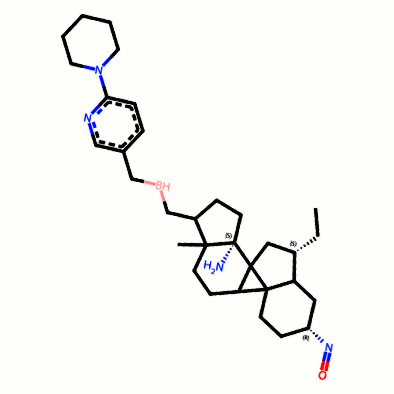 CC[C@H]1CC23C(CCC4(C)C(CBCc5ccc(N6CCCCC6)nc5)CC[C@]42N)C32CC[C@@H](N=O)CC12